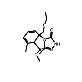 CCCCC1(n2c(C)n[nH]c2=O)C=CC=C(C)C1C(=O)OC